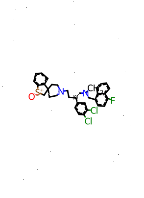 CN(Cc1ccc(F)c2ccccc12)C[C@@H](CCN1CCC2(CC1)C[S+]([O-])c1ccccc12)c1ccc(Cl)c(Cl)c1